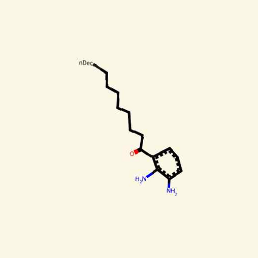 CCCCCCCCCCCCCCCCCC(=O)c1cccc(N)c1N